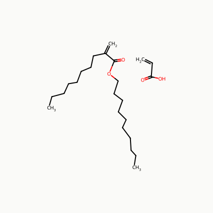 C=C(CCCCCCCC)C(=O)OCCCCCCCCCC.C=CC(=O)O